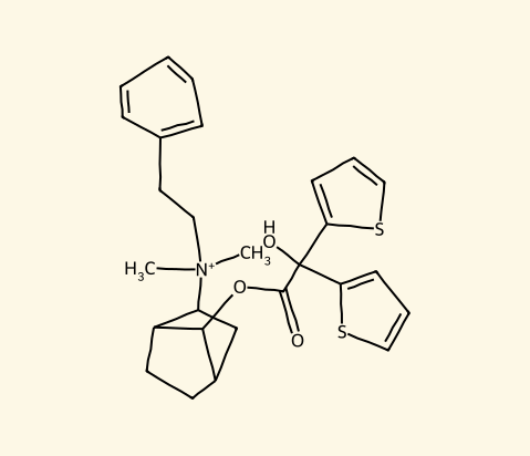 C[N+](C)(CCc1ccccc1)C1CC2CCC1C2OC(=O)C(O)(c1cccs1)c1cccs1